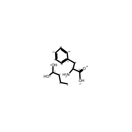 CCCC(O)O.NC(Cc1ccccc1)C(=O)O